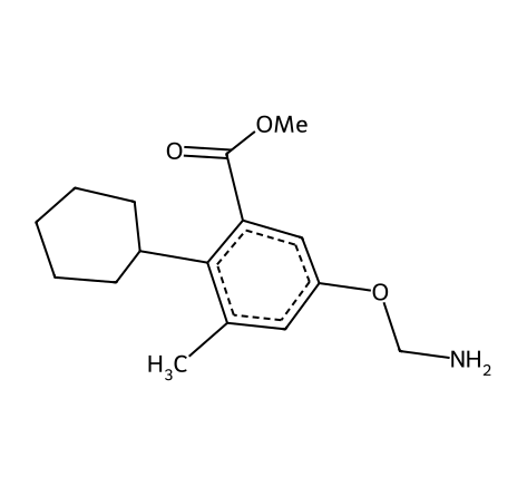 COC(=O)c1cc(OCN)cc(C)c1C1CCCCC1